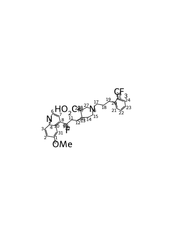 COc1ccc2nccc([C@H](F)CC[C@@H]3CCN(CCCc4ccccc4C(F)(F)F)C[C@@H]3C(=O)O)c2c1